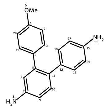 COc1ccc(-c2cc(N)ccc2-c2ccc(N)cc2)cc1